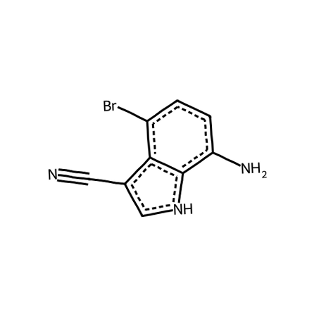 N#Cc1c[nH]c2c(N)ccc(Br)c12